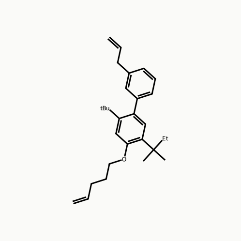 C=CCCCOc1cc(C(C)(C)C)c(-c2cccc(CC=C)c2)cc1C(C)(C)CC